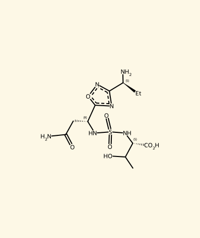 CC[C@H](N)c1noc([C@@H](CC(N)=O)NS(=O)(=O)N[C@H](C(=O)O)C(C)O)n1